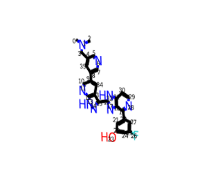 CN(C)Cc1cncc(-c2cnc3[nH]nc(-c4nc5c(-c6cc(O)cc(F)c6)nccc5[nH]4)c3c2)c1